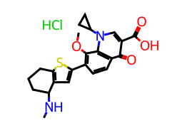 CNC1CCCc2sc(-c3ccc4c(=O)c(C(=O)O)cn(C5CC5)c4c3OC)cc21.Cl